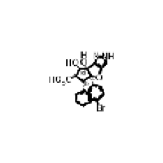 O=C(O)[C@H]1[C@@H](O)[C@@]2(O)c3n[nH]cc3O[C@@]2(c2ccc(Br)cc2)[C@@H]1c1ccccc1